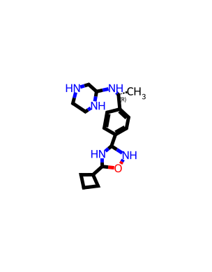 C[C@@H](NC1CNCCN1)c1ccc(C2NOC(C3CCC3)N2)cc1